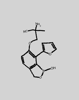 CC(N)(C#N)COc1ccc2c(c1-c1ccco1)B(O)OC2